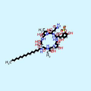 CCCCCCCCCCCCCCCC(=O)NC1CC(O)C(O)NC(=O)C2C(O)C(C)CN2C(=O)C(C(O)CC(N)=O)NC(=O)C(C(O)C(O)c2ccc(O)c(O[SH](=O)=O)c2)NC(=O)C2CC(O)CN2C(=O)C(C(C)O)NC1=O